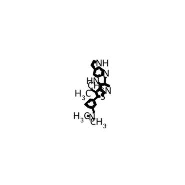 CC(C)c1c(-c2cccc(CN(C)C)c2)sc2ncc(C#N)c(Nc3ccc4[nH]ccc4c3)c12